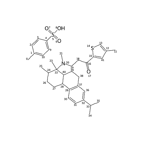 Cc1ccc(S(=O)(=O)O)cc1.Cc1csc(C(=O)CCN(C)C2(C)C(C)CCC3c4ccc(C(C)C)cc4CCC32)c1